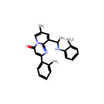 Cc1cc(C(C)Nc2ccccc2C(=O)O)c2nc(-c3ccccc3C)cc(=O)n2c1